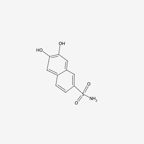 NS(=O)(=O)c1ccc2cc(O)c(O)cc2c1